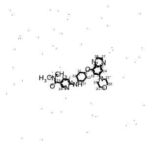 CN(C)C(=O)c1ccc(N[C@H]2CC[C@@H](Oc3cc(N4CCOCC4)cc4nccnc34)CC2)nc1